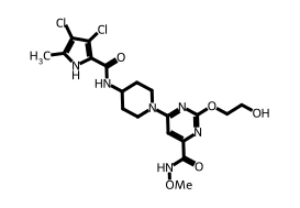 CONC(=O)c1cc(N2CCC(NC(=O)c3[nH]c(C)c(Cl)c3Cl)CC2)nc(OCCO)n1